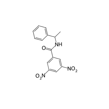 CC(NC(=O)c1cc([N+](=O)[O-])cc([N+](=O)[O-])c1)c1ccccc1